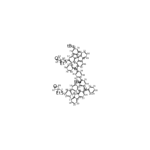 CCC1(CSc2ccc(C3(c4ccc(C(C)(C)C)cc4)c4ccccc4-c4ccc(N(c5ccccc5)c5ccc(-c6ccc(N(C7=CC8C(C=C7)c7ccccc7C8(c7ccc(SCC8(CC)COC8)cc7)c7ccc(C(C)(C)C)cc7)c7ccccc7)cc6)cc5)cc43)cc2)COC1